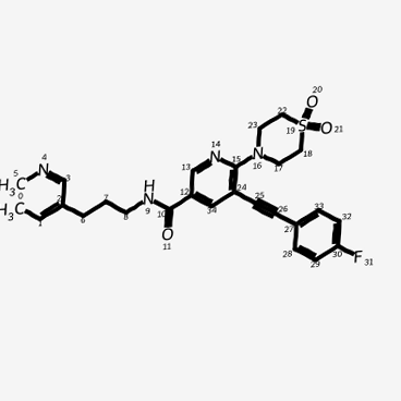 C/C=C(\C=N/C)CCCNC(=O)c1cnc(N2CCS(=O)(=O)CC2)c(C#Cc2ccc(F)cc2)c1